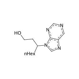 CCCCCCC(CCO)n1cnc2cncnc21